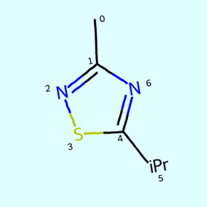 Cc1nsc(C(C)C)n1